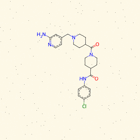 Nc1cc(CN2CCC(C(=O)N3CCC(C(=O)Nc4ccc(Cl)cc4)CC3)CC2)ccn1